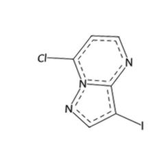 Clc1ccnc2c(I)cnn12